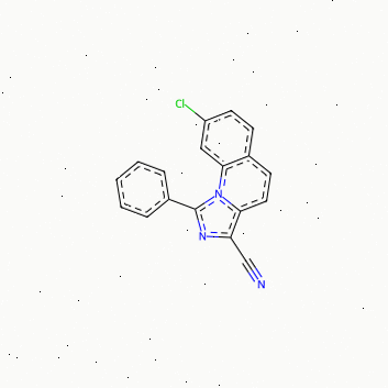 N#Cc1nc(-c2ccccc2)n2c1ccc1ccc(Cl)cc12